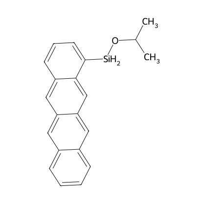 CC(C)O[SiH2]c1cccc2cc3cc4ccccc4cc3cc12